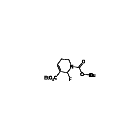 CCOC(=O)C1=CCCN(C(=O)OC(C)(C)C)C1F